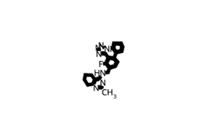 Cc1nc2c(c(NCc3ccc(-c4ccccc4)c(-c4nnn[nH]4)c3F)n1)CCCC2